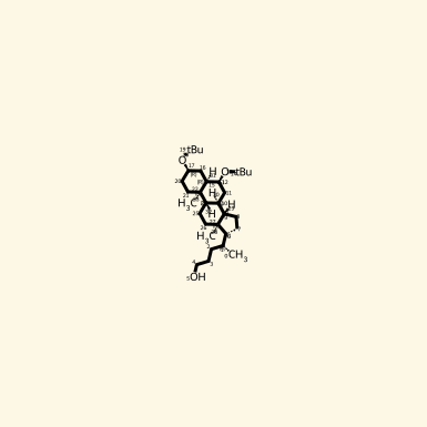 C[C@H](CCCO)[C@H]1CC[C@H]2[C@@H]3C[C@H](OC(C)(C)C)[C@@H]4C[C@H](OC(C)(C)C)CC[C@]4(C)[C@H]3CC[C@]12C